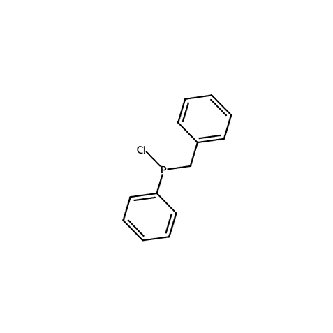 ClP(Cc1ccccc1)c1ccccc1